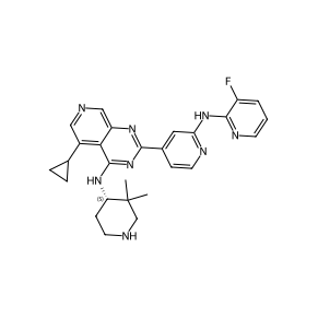 CC1(C)CNCC[C@@H]1Nc1nc(-c2ccnc(Nc3ncccc3F)c2)nc2cncc(C3CC3)c12